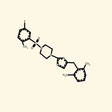 Cc1ccc(F)cc1S(=O)(=O)N1CCN(c2nc(Cc3c(C)cccc3C)cs2)CC1